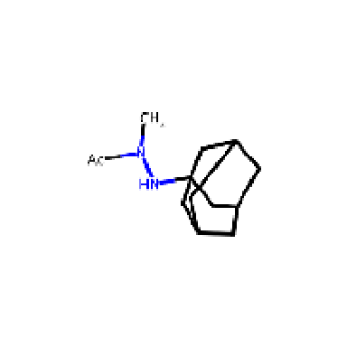 CC(=O)N(C)NC12CC3CC(CC(C3)C1)C2